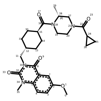 COc1ccc2c(c1)c(=O)n(C[C@H]1CC[C@H](C(=O)N3CCN(C(=O)C4CC4)C[C@H]3C)CC1)c(=O)n2C